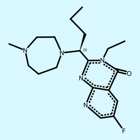 CCC[C@@H](c1nc2ncc(F)cc2c(=O)n1CC)N1CCCN(C)CC1